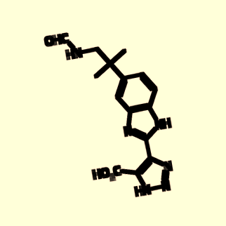 CC(C)(CNC=O)c1ccc2[nH]c(-c3nn[nH]c3C(=O)O)nc2c1